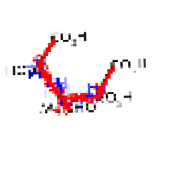 CN[C@@](C=O)(CO)CCCCNC(=O)[C@H](CCCCNC(=O)COCCOCCNC(=O)COCCOCCNC(=O)CC[C@H](NC(=O)C1CCN(C(=O)CCCCCCCCCCCCCCCCCCC(=O)O)CC1)C(=O)O)NC(=O)COCCOCCNC(=O)COCCOCCNC(=O)CC[C@H](NC(=O)C1CCN(C(=O)CCCCCCCCCCCCCCCCCCC(=O)O)CC1)C(=O)O